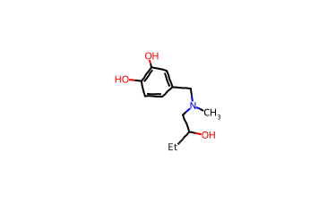 CCC(O)CN(C)Cc1ccc(O)c(O)c1